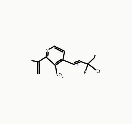 C=C(C)c1nccc(/C=C/C(F)(F)CC)c1[N+](=O)[O-]